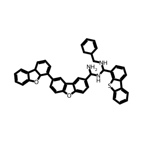 NC(NC(NCC1C=CC=CC1)c1cccc2c1sc1ccccc12)c1ccc2oc3ccc(C4=CC=CC5c6ccccc6OC45)cc3c2c1